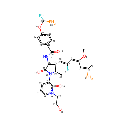 COC(/C=C(\C)P)=C/C(F)=C/[C@H]1[C@H](NC(=O)c2ccc(OC(F)P)cc2)C(=O)N(c2cccn(CCO)c2=O)[C@@H]1C